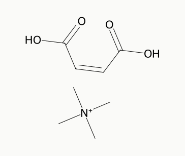 C[N+](C)(C)C.O=C(O)/C=C\C(=O)O